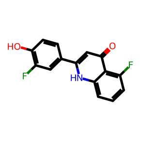 O=c1cc(-c2ccc(O)c(F)c2)[nH]c2cccc(F)c12